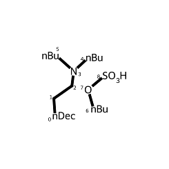 CCCCCCCCCCCCN(CCCC)CCCC.CCCCOS(=O)(=O)O